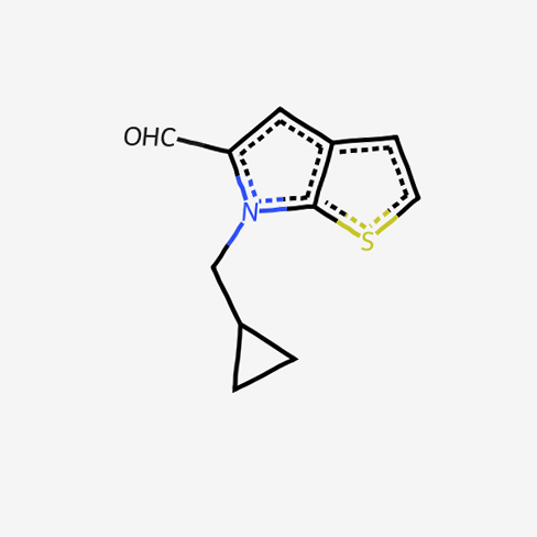 O=Cc1cc2ccsc2n1CC1CC1